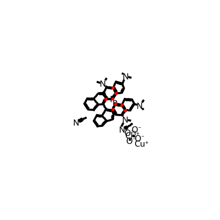 CC#N.CC#N.CN(C)c1ccc(P(c2ccc(N(C)C)cc2)c2ccc3ccccc3c2-c2c(P(c3ccc(N(C)C)cc3)c3ccc(N(C)C)cc3)ccc3ccccc23)cc1.[Cu+].[O-][Cl+3]([O-])([O-])[O-]